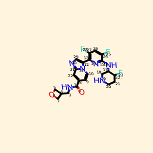 O=C(NCC1COC1)c1ccn2c(-c3nc(NC4CNCCC4F)c(F)cc3F)cnc2c1